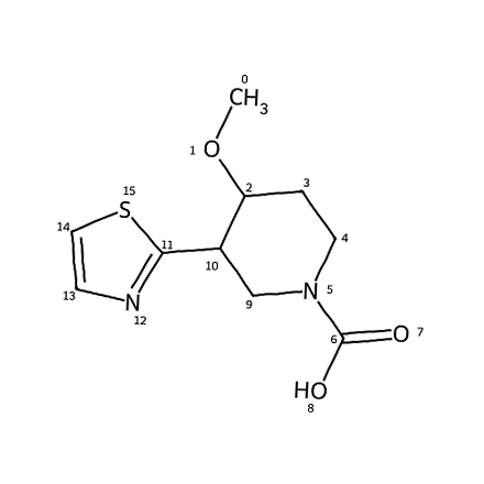 COC1CCN(C(=O)O)CC1c1nccs1